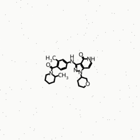 Cc1cc(Nc2nn(C3CCCOC3)c3cc[nH]c(=O)c23)ccc1C(=O)N1CCCCC1C